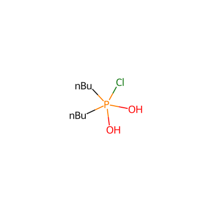 CCCCP(O)(O)(Cl)CCCC